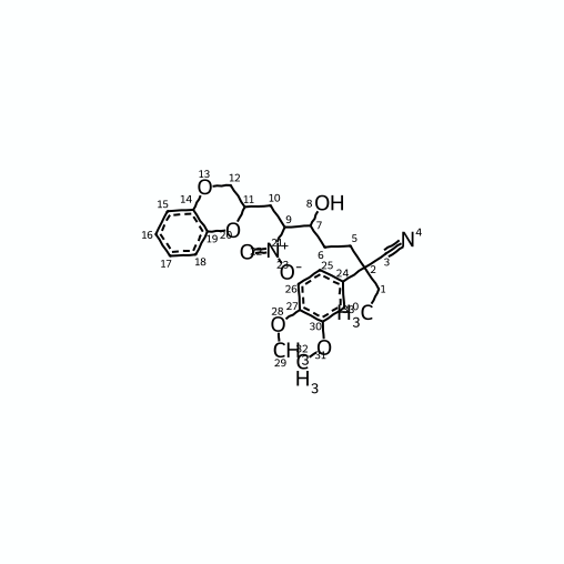 CCC(C#N)(CCC(O)C(CC1COc2ccccc2O1)[N+](=O)[O-])c1ccc(OC)c(OC)c1